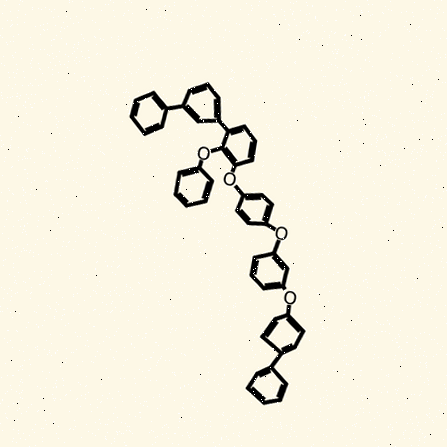 c1ccc(Oc2c(Oc3ccc(Oc4cccc(Oc5ccc(-c6ccccc6)cc5)c4)cc3)cccc2-c2cccc(-c3ccccc3)c2)cc1